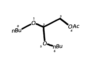 CCCCOC(COC(C)=O)OCCCC